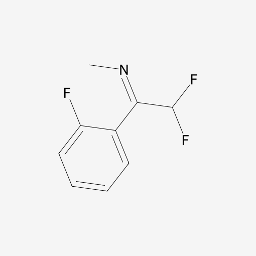 C/N=C(\c1ccccc1F)C(F)F